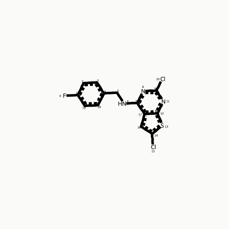 Fc1ccc(CNc2nc(Cl)nc3sc(Cl)cc23)cc1